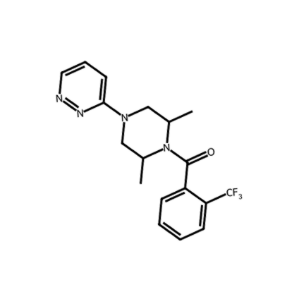 CC1CN(c2cccnn2)CC(C)N1C(=O)c1ccccc1C(F)(F)F